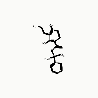 CCCc1c(O)ccc(C(=O)CC(C)(C)c2ccccc2)c1O